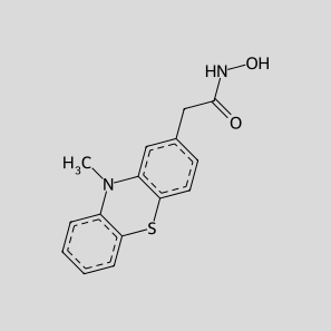 CN1c2ccccc2Sc2ccc(CC(=O)NO)cc21